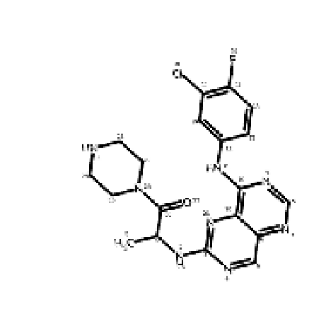 CC(Nc1ncc2ncnc(Nc3ccc(F)c(Cl)c3)c2n1)C(=O)N1CCNCC1